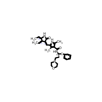 C/C=C1C(=C/c2[nH]c(C)c(C(=O)N[C@H](CCN3CCOCC3)Cc3ccccc3)c2C)/C(=O)NC/1=C/C